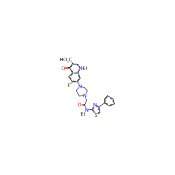 CCN(C(=O)CN1CCN(c2cc3c(cc2F)c(=O)c(C(=O)O)cn3CC)CC1)c1nc(-c2ccccc2)cs1